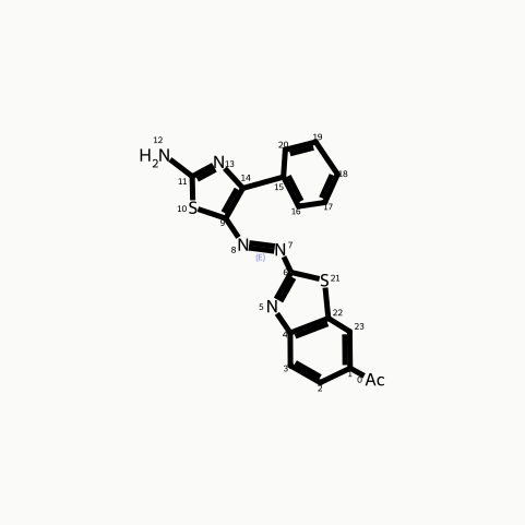 CC(=O)c1ccc2nc(/N=N/c3sc(N)nc3-c3ccccc3)sc2c1